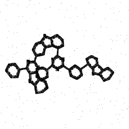 c1ccc(-c2nc(-c3cccc(-c4cccc5c4sc4ccccc45)c3)nc(-c3cccc4sc5ccc(-c6nc(-c7ccccc7)c7sc8ccccc8c7n6)cc5c34)n2)cc1